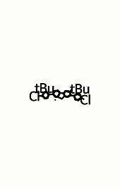 CC(C)(C)c1cc2c([c]c1-c1ccc(Cl)cc1)Cc1cc(-c3ccc(Cl)cc3)c(C(C)(C)C)cc1-2